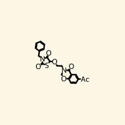 CC(=O)c1ccc2c(c1)C(=O)N(CCOC1SC(=O)N(Cc3ccccc3)C1=O)CO2